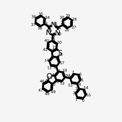 c1ccc(-c2cccc(-c3cc(-c4ccc5c(c4)sc4cc(-c6nc(-c7ccccc7)nc(-c7ccccc7)n6)ccc45)c4oc5ccccc5c4c3)c2)cc1